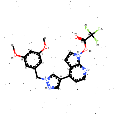 COc1cc(Cn2cc(-c3ccnc4c3ccn4OC(=O)C(F)(F)F)cn2)cc(OC)c1